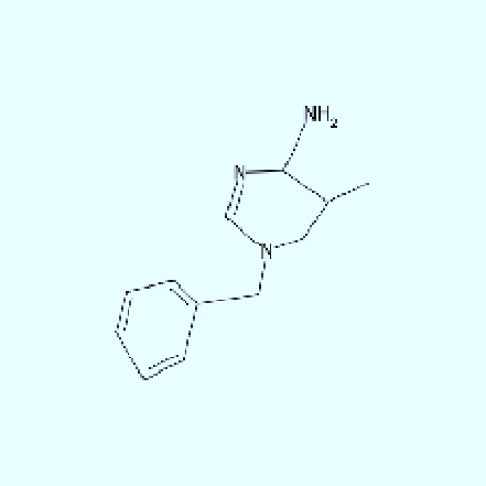 CC1CN(Cc2ccccc2)C=NC1N